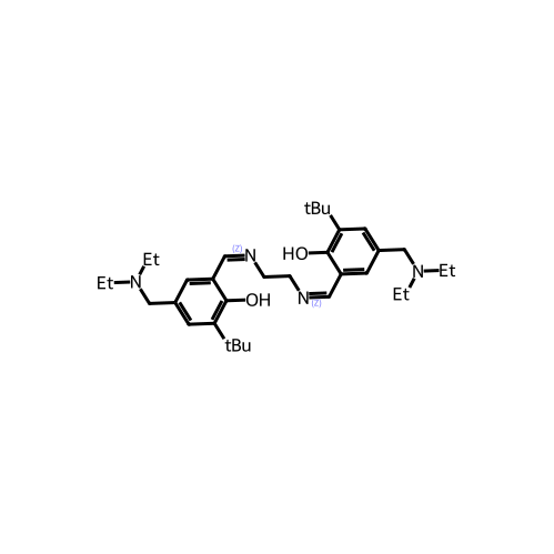 CCN(CC)Cc1cc(/C=N\CC/N=C\c2cc(CN(CC)CC)cc(C(C)(C)C)c2O)c(O)c(C(C)(C)C)c1